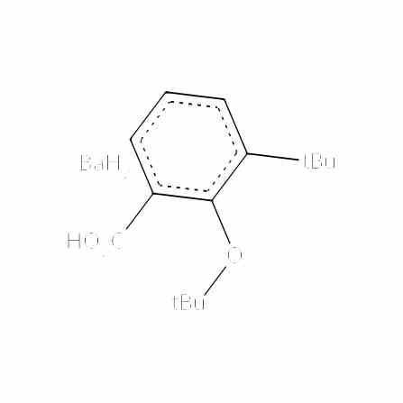 CC(C)(C)Oc1c(C(=O)O)cccc1C(C)(C)C.[BaH2]